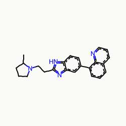 CC1CCCN1CCc1nc2cc(-c3cccc4cccnc34)ccc2[nH]1